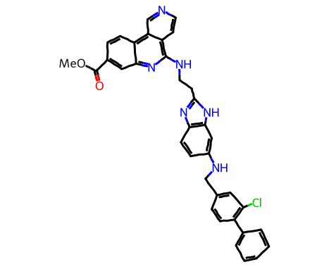 COC(=O)c1ccc2c(c1)nc(NCCc1nc3ccc(NCc4ccc(-c5ccccc5)c(Cl)c4)cc3[nH]1)c1ccncc12